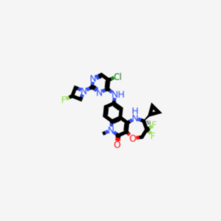 Cn1c(=O)c2c(c3cc(Nc4nc(N5CC(F)C5)ncc4Cl)ccc31)N[C@@H](C1CC1)C(F)(F)CO2